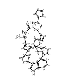 CC(C)[C@@H]1NC(=O)[C@@H](NC(=O)c2cccs2)Cc2ccc3c(c2)[C@]24c5cccc(c5NC2O3)-c2cccc3[nH]cc(c23)-c2cnc(o2)-c2nc1oc24